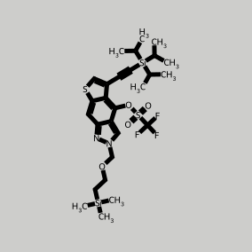 CC(C)[Si](C#Cc1csc2cc3nn(COCC[Si](C)(C)C)cc3c(OS(=O)(=O)C(F)(F)F)c12)(C(C)C)C(C)C